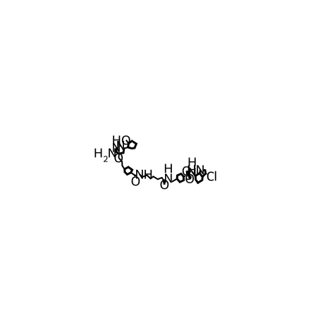 Nc1nnc(-c2ccccc2O)cc1OCCc1ccc(C(=O)NCCCCCCC(=O)NCc2ccc(S(=O)(=O)Nc3cccc4c(Cl)c[nH]c34)cc2)cc1